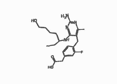 CCC(CCCCO)Nc1nc(N)nc(C)c1Cc1ccc(CC(=O)O)cc1F